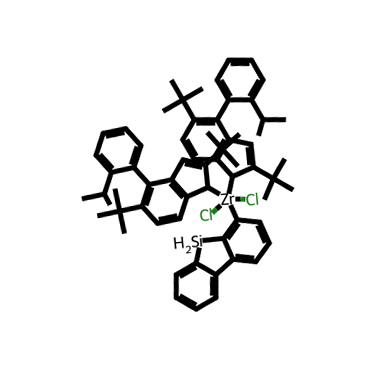 CC(C)c1ccccc1-c1c(C(C)(C)C)ccc2c1C=C(C(C)(C)C)[CH]2[Zr]([Cl])([Cl])([c]1cccc2c1[SiH2]c1ccccc1-2)[CH]1C(C(C)(C)C)=Cc2c1ccc(C(C)(C)C)c2-c1ccccc1C(C)C